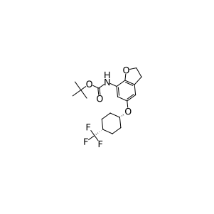 CC(C)(C)OC(=O)Nc1cc(O[C@H]2CC[C@@H](C(F)(F)F)CC2)cc2c1OCC2